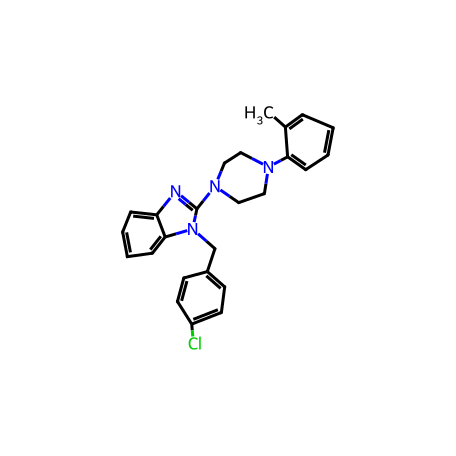 Cc1ccccc1N1CCN(c2nc3ccccc3n2Cc2ccc(Cl)cc2)CC1